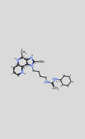 C=C(NCCCCn1c(CCCC)nc2c(C)nc3cccnc3c21)NC1CCCCC1